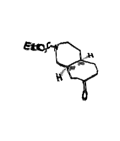 CCOC(=O)N1CC[C@H]2CCC(=O)C[C@H]2C1